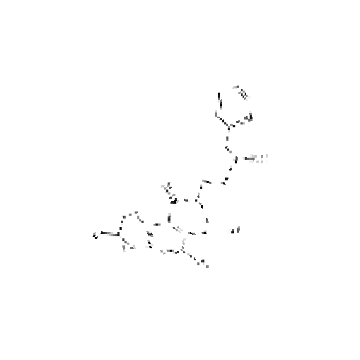 CCCCCCCCN(CCC1CCc2c(C)cc3c(c2C1=O)CCC(=O)N3)Cc1ccccc1.Cl